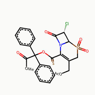 COC(=O)C(OC(=S)C1=C(COC(C)=O)CS(=O)(=O)C2[C@@H](Cl)C(=O)N12)(c1ccccc1)c1ccccc1